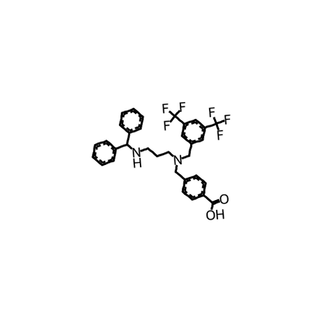 O=C(O)c1ccc(CN(CCCNC(c2ccccc2)c2ccccc2)Cc2cc(C(F)(F)F)cc(C(F)(F)F)c2)cc1